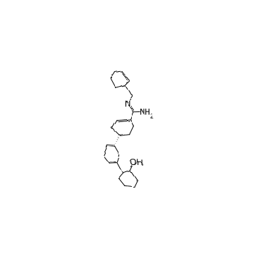 N/C(=N\CC1C=CCCC1)C1=CCC([C@H]2CCC=C(C3CCCCC3O)C2)CC1